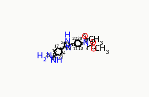 COC(=O)CN(C(C)=O)c1ccc(-c2nc(-c3ccc(C(=N)N)cc3)c[nH]2)cc1